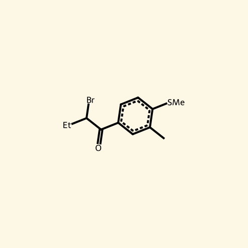 CCC(Br)C(=O)c1ccc(SC)c(C)c1